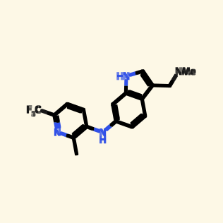 CNCc1c[nH]c2cc(Nc3ccc(C(F)(F)F)nc3C)ccc12